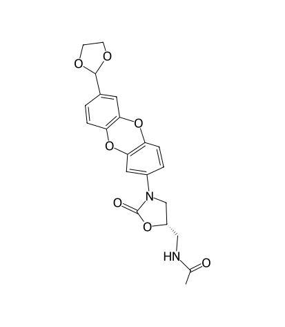 CC(=O)NC[C@H]1CN(c2ccc3c(c2)Oc2ccc(C4OCCO4)cc2O3)C(=O)O1